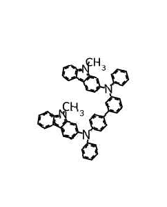 Cn1c2ccccc2c2ccc(N(c3ccccc3)c3ccc(-c4cccc(N(c5ccccc5)c5ccc6c7ccccc7n(C)c6c5)c4)cc3)cc21